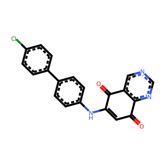 O=C1C(Nc2ccc(-c3ccc(Cl)cc3)cc2)=CC(=O)c2ncncc21